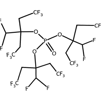 O=P(OC(CC(F)(F)F)(CC(F)(F)F)C(F)F)(OC(CC(F)(F)F)(CC(F)(F)F)C(F)F)OC(CC(F)(F)F)(CC(F)(F)F)C(F)F